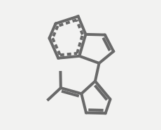 CC(C)=C1C=CC=C1C1C=Cc2ccccc21